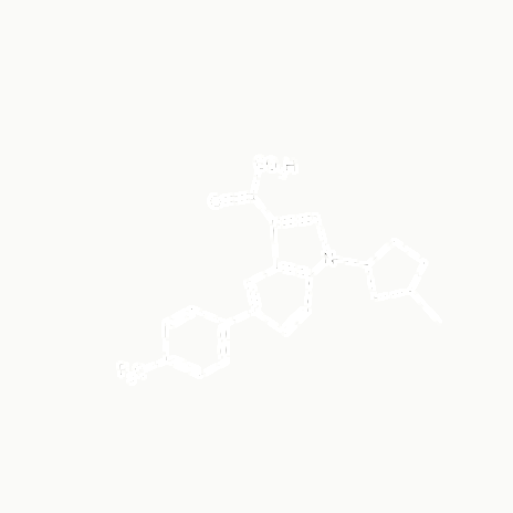 CC1CCC(n2cc(C(=O)C(=O)O)c3cc(-c4ccc(C(F)(F)F)cc4)ccc32)C1